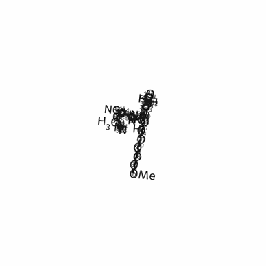 COCCOCCOCCOCCOCCOCCOc1nn([C@H]2CC[C@H](N3[C@@H]4CC[C@H]3COC4)CC2)cc1Nc1ncc(-c2ccc(C#N)c(O[C@@H](C)Cn3cncn3)c2)cn1